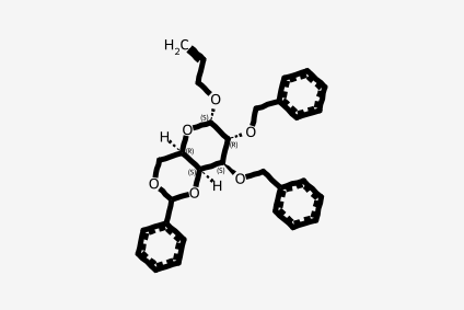 C=CCO[C@H]1O[C@@H]2COC(c3ccccc3)O[C@@H]2[C@H](OCc2ccccc2)[C@H]1OCc1ccccc1